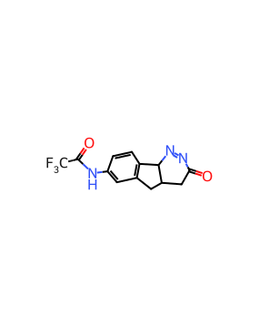 O=C1CC2Cc3cc(NC(=O)C(F)(F)F)ccc3C2N=N1